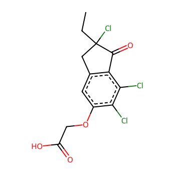 CCC1(Cl)Cc2cc(OCC(=O)O)c(Cl)c(Cl)c2C1=O